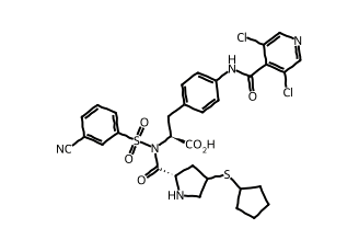 N#Cc1cccc(S(=O)(=O)N(C(=O)[C@@H]2CC(SC3CCCC3)CN2)[C@@H](Cc2ccc(NC(=O)c3c(Cl)cncc3Cl)cc2)C(=O)O)c1